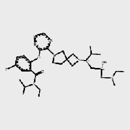 CCN(C)C[C@@H](O)C[C@H](C(C)C)N1CC2(CCN(c3ncnnc3Oc3ccc(F)cc3C(=O)N(CC)C(C)C)C2)C1